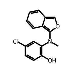 CN(c1cc(Cl)ccc1O)c1occ2ccccc12